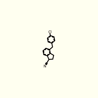 N#CC1CCc2c(Cc3ccc(Cl)cc3)cccc21